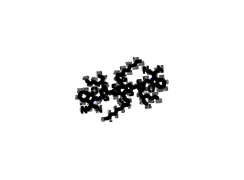 CCCCCCc1ccc(-c2c3cc(-c4sc(/C=C5\C(=O)c6ccccc6C5=C(C#N)C#N)cc4CC(CC)CCCC)sc3c(-c3ccc(CCCCCC)s3)c3cc(-c4sc(/C=C5\C(=O)c6ccccc6C5=C(C#N)C#N)cc4CC(CC)CCCC)sc23)s1